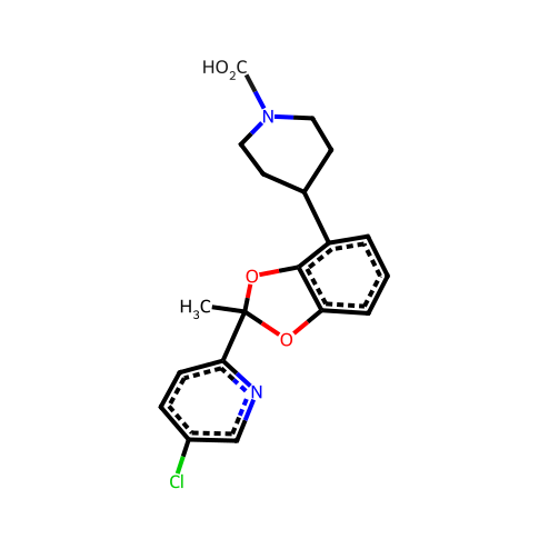 CC1(c2ccc(Cl)cn2)Oc2cccc(C3CCN(C(=O)O)CC3)c2O1